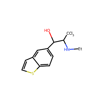 CCNC(C(O)c1ccc2sccc2c1)C(Cl)(Cl)Cl